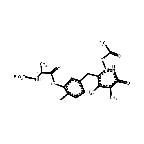 CCOC(=O)N[C@@H](C)C(=O)Nc1cc(Cc2c(C)c(C)c(=O)[nH][n+]2OC(=O)C(F)(F)F)ccc1F